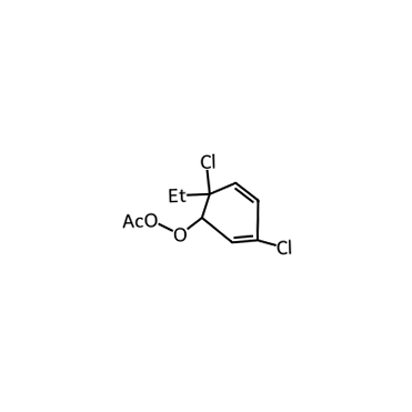 CCC1(Cl)C=CC(Cl)=CC1OOC(C)=O